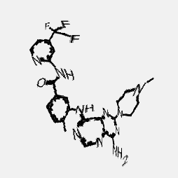 Cc1ccc(C(=O)Nc2cc(C(F)(F)F)ccn2)cc1Nc1ncnc2c(N)nc(N3CCN(C)CC3)nc12